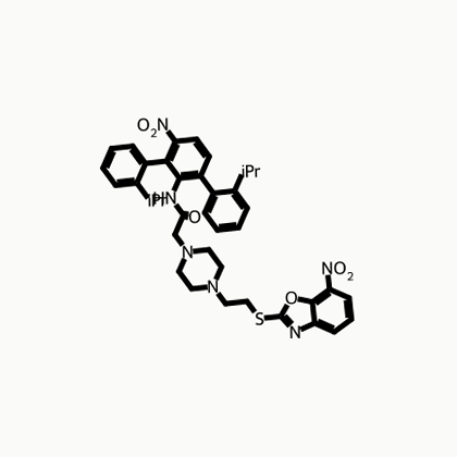 CC(C)c1ccccc1-c1ccc([N+](=O)[O-])c(-c2ccccc2C(C)C)c1NC(=O)CN1CCN(CCSc2nc3cccc([N+](=O)[O-])c3o2)CC1